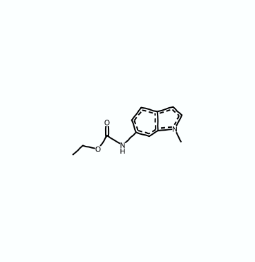 CCOC(=O)Nc1ccc2ccn(C)c2c1